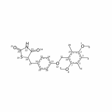 COc1c(C)c(C)c(OC)c(COc2ccc(CC3SC(=O)NC3=O)cc2)c1C